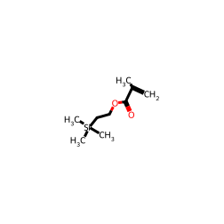 C=C(C)C(=O)OCC[Si](C)(C)C